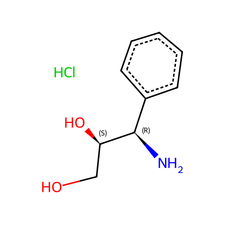 Cl.N[C@H](c1ccccc1)[C@H](O)CO